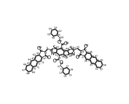 O=C1C(=Cc2nc3c(C(=O)OCc4ccccc4)c4sc5nc(C=C6C(=O)c7cc8cc9ccccc9cc8cc7C6=O)sc5c4c(C(=O)OCc4ccccc4)c3s2)C(=O)c2cc3cc4ccccc4cc3cc21